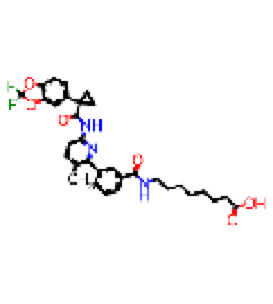 Cc1ccc(NC(=O)C2(c3ccc4c(c3)OC(F)(F)O4)CC2)nc1-c1cccc(C(=O)NCCCCCCCC(=O)O)c1